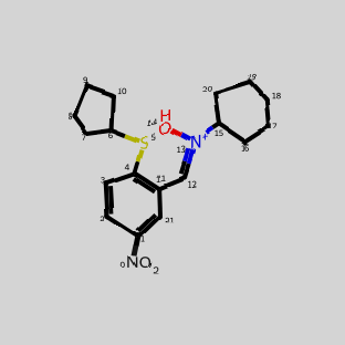 O=[N+]([O-])c1ccc(SC2CCCC2)c(/C=[N+](\O)C2CCCCC2)c1